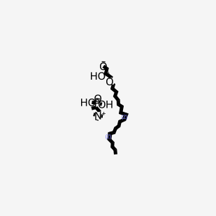 CC(C[N+](C)(C)C)P(=O)(O)O.CCCC/C=C\CCCC/C=C\CCCCCCCCOC[C@@H](O)COC